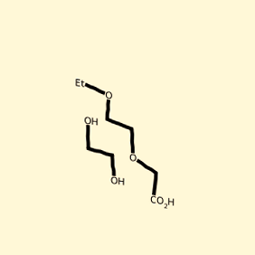 CCOCCOCC(=O)O.OCCO